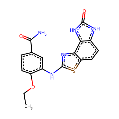 CCOc1ccc(C(N)=O)cc1Nc1nc2c(ccc3[nH]c(=O)[nH]c32)s1